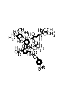 CN[C@@H]1[C@@H](O)[C@@H](O[C@@H]2[C@@H](O)[C@H](O[C@H]3OC(CNC(=O)OCc4ccc([N+](=O)[O-])cc4)=CC[C@H]3NC(=O)O)[C@@H](NC(=O)OC(C)(C)C)C[C@H]2NC(=O)[C@@H](O)CCNC(=O)OC(C)(C)C)OC[C@]1(C)O